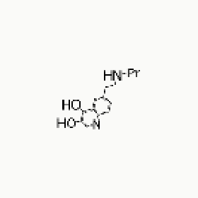 CC(C)NCCc1ccc2ncc(O)c(O)c2c1